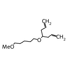 C=CCC(CC=C)OCCCCCOC